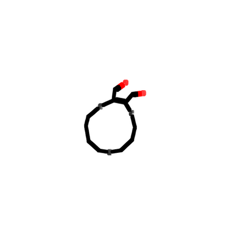 O=CC1=C(C=O)CCCCCCCCCC1